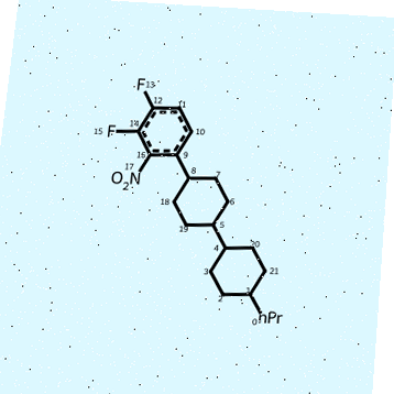 CCCC1CCC(C2CCC(c3ccc(F)c(F)c3[N+](=O)[O-])CC2)CC1